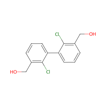 OCc1cccc(-c2cccc(CO)c2Cl)c1Cl